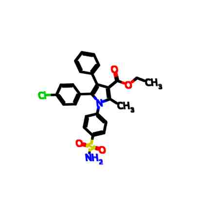 CCOC(=O)c1c(-c2ccccc2)c(-c2ccc(Cl)cc2)n(-c2ccc(S(N)(=O)=O)cc2)c1C